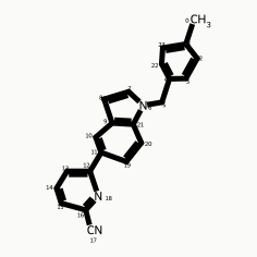 Cc1ccc(Cn2ccc3cc(-c4cccc(C#N)n4)ccc32)cc1